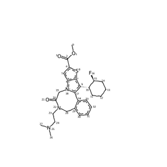 COC(=O)c1cc2c(s1)c([C@H]1CCCC[C@@H]1F)c1n2CC(=O)N(CCN(C)C)Cc2ccccc2-1